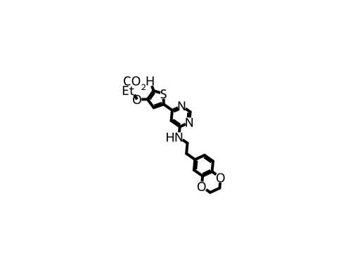 CCOc1cc(-c2cc(NCCc3ccc4c(c3)OCCO4)ncn2)sc1C(=O)O